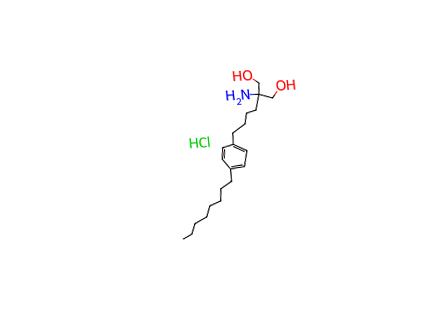 CCCCCCCCc1ccc(CCCCC(N)(CO)CO)cc1.Cl